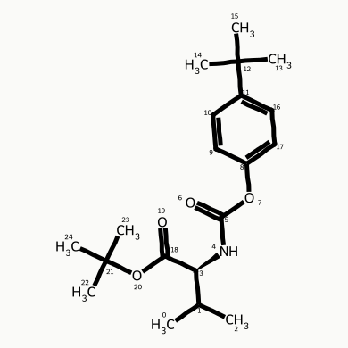 CC(C)[C@H](NC(=O)Oc1ccc(C(C)(C)C)cc1)C(=O)OC(C)(C)C